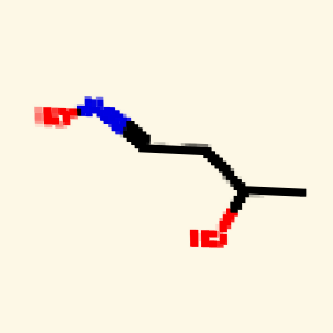 CC(O)C/C=N/O